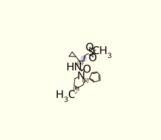 CC[C@@H]1CCN(C(=O)N[C@H](/C=C/S(C)(=O)=O)C2CC2)[C@H](c2ccccc2)C1